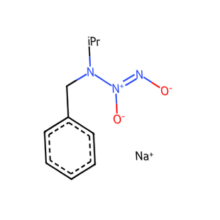 CC(C)N(Cc1ccccc1)[N+]([O-])=N[O-].[Na+]